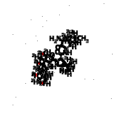 [2H]C([2H])([2H])C1(C([2H])([2H])[2H])C2[C@@H](C(=O)N[C@@H](CC3([2H])C([2H])([2H])C([2H])(C)C3([2H])[2H])C(=O)C(N)=O)N(C(=O)[C@@H](NC(=O)NC(C([2H])([2H])[2H])(C([2H])([2H])[2H])C([2H])([2H])[2H])C(C([2H])([2H])[2H])(C([2H])([2H])[2H])C([2H])([2H])[2H])C[C@@H]21